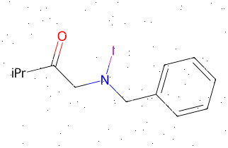 CC(C)C(=O)CN(I)Cc1ccccc1